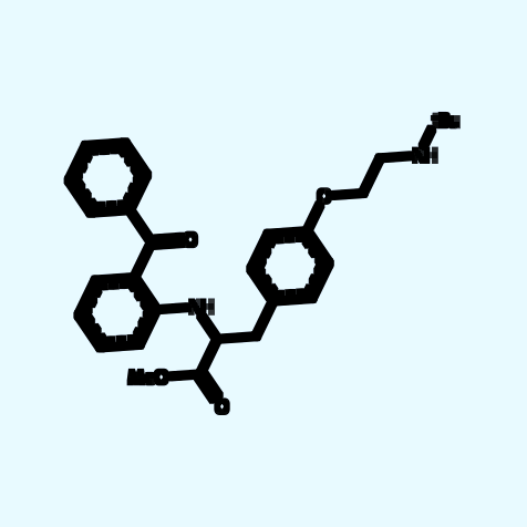 COC(=O)C(Cc1ccc(OCCNC(C)(C)C)cc1)Nc1ccccc1C(=O)c1ccccc1